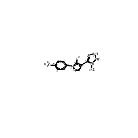 CCN1NNN=C1c1cnn(-c2ccc(C)cc2)c1I